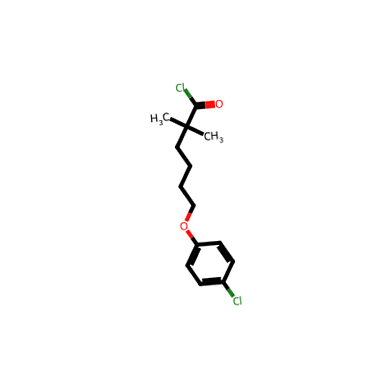 CC(C)(CCCCOc1ccc(Cl)cc1)C(=O)Cl